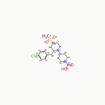 CS(=O)(=O)N1CCN(C2CCN(C(=O)O)CC2)C(Cc2ccc(Cl)cc2)C1